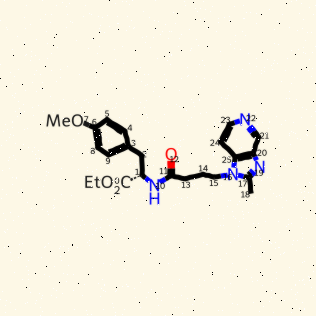 CCOC(=O)[C@H](Cc1ccc(OC)cc1)NC(=O)CCCn1c(C)nc2cnccc21